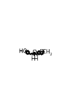 C=C1C=Cc2cc(NC(=O)NCCc3ccc(O)cc3)ccc2O1